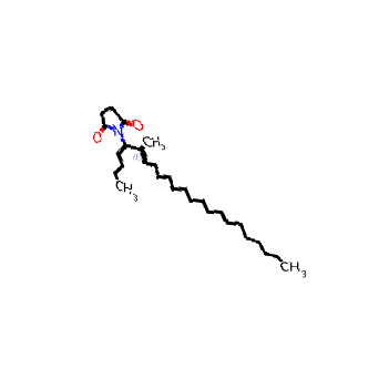 CCCCCCCCCCCCCCCC/C=C(\C)C(CCCC)N1C(=O)CCC1=O